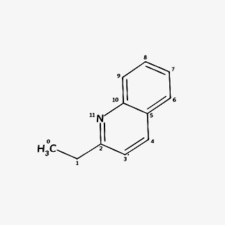 CCc1[c]cc2ccccc2n1